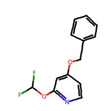 FC(F)Oc1cc(OCc2ccccc2)ccn1